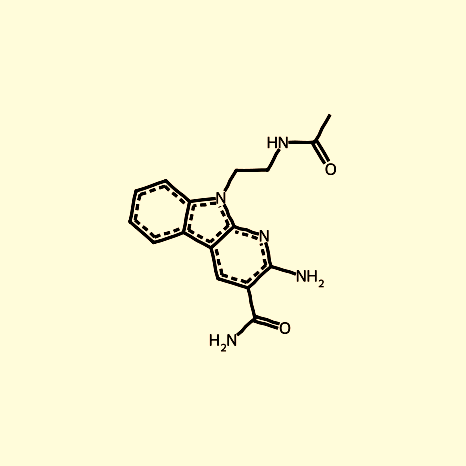 CC(=O)NCCn1c2ccccc2c2cc(C(N)=O)c(N)nc21